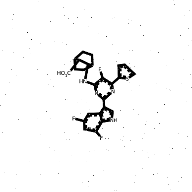 O=C(O)C1C2CCC(CC2)C1Nc1nc(-c2c[nH]c3c(F)cc(F)cc23)nc(-c2cccs2)c1F